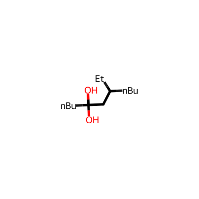 CCCCC(CC)CC(O)(O)CCCC